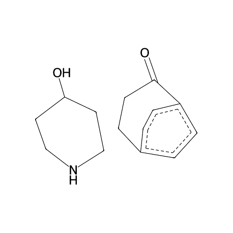 O=C1CCc2ccc1cc2.OC1CCNCC1